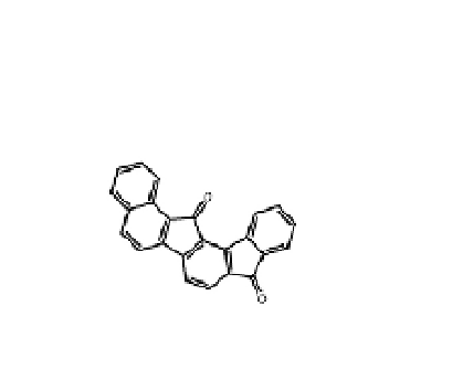 O=c1c2ccccc2c2c1ccc1c3ccc4ccccc4c3c(=O)c12